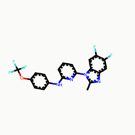 Cc1nc2cc(F)c(F)cc2n1-c1cccc(Nc2ccc(OC(F)(F)F)cc2)n1